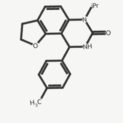 Cc1ccc(C2NC(=O)N(C(C)C)c3ccc4c(c32)OCC4)cc1